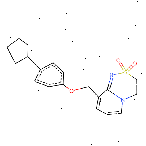 O=S1(=O)CCN2C=CC=C(COc3ccc(C4CCCC4)cc3)C2=N1